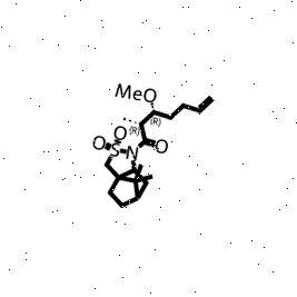 C=CCC[C@@H](OC)[C@@H](C)C(=O)N1C2CC3CCC2(CS1(=O)=O)C3(C)C